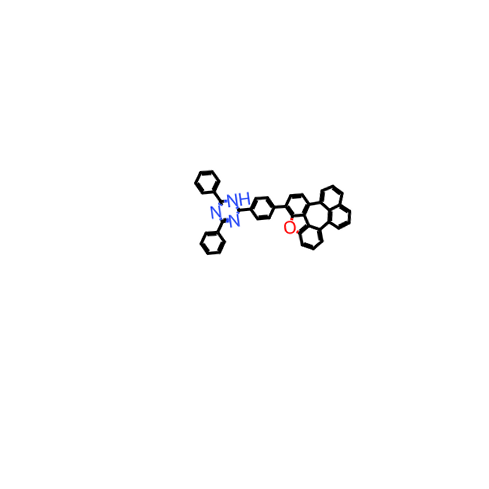 c1ccc(C2=NC(c3ccc(-c4ccc5c6c4oc4cccc(c46)-c4cccc6cccc-5c46)cc3)NC(c3ccccc3)=N2)cc1